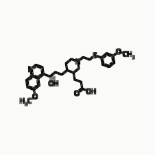 COc1cccc(SCCN2CCC(CC[C@H](O)c3ccnc4ccc(OC)cc34)C(CCC(=O)O)C2)c1